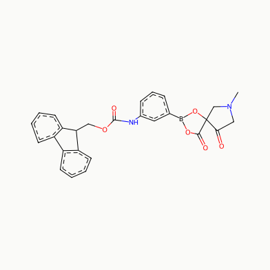 CN1CC(=O)C2(C1)OB(c1cccc(NC(=O)OCC3c4ccccc4-c4ccccc43)c1)OC2=O